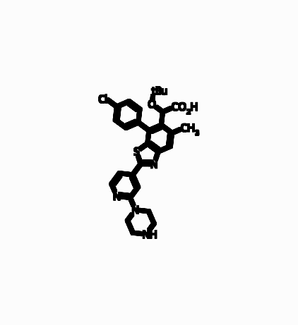 Cc1cc2nc(-c3ccnc(N4CCNCC4)c3)sc2c(-c2ccc(Cl)cc2)c1C(OC(C)(C)C)C(=O)O